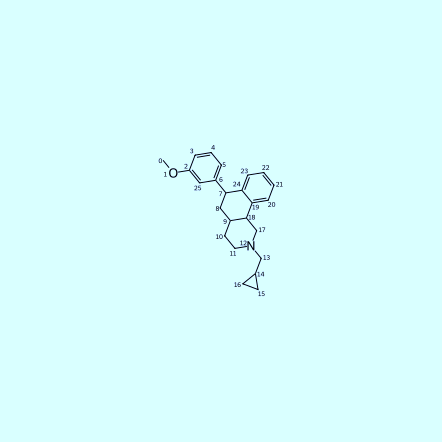 COc1cccc(C2CC3CCN(CC4CC4)CC3c3ccccc32)c1